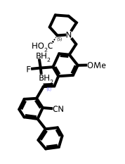 BC(B)(F)c1cc(CN2CCCC[C@H]2C(=O)O)c(OC)cc1/C=C/c1cccc(-c2ccccc2)c1C#N